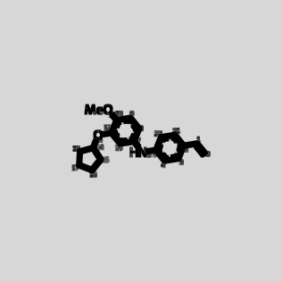 C=Cc1ccc(Nc2ccc(OC)c(OC3CCCC3)c2)cc1